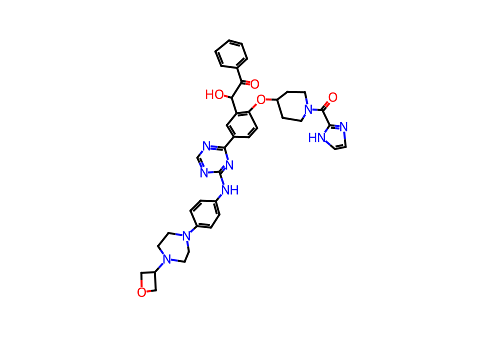 O=C(c1ccccc1)C(O)c1cc(-c2ncnc(Nc3ccc(N4CCN(C5COC5)CC4)cc3)n2)ccc1OC1CCN(C(=O)c2ncc[nH]2)CC1